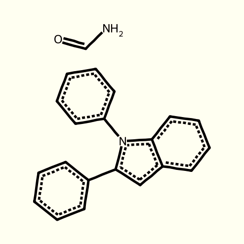 NC=O.c1ccc(-c2cc3ccccc3n2-c2ccccc2)cc1